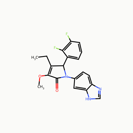 CCC1=C(OC)C(=O)N(c2ccc3nc[nH]c3c2)C1c1cccc(F)c1F